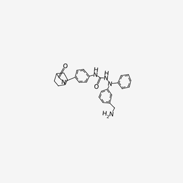 NCc1cccc(N(NC(=O)Nc2ccc(N3C(=O)C4CCC3CC4)cc2)c2ccccc2)c1